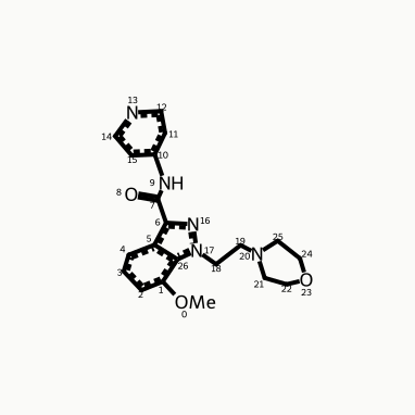 COc1cccc2c(C(=O)Nc3ccncc3)nn(CCN3CCOCC3)c12